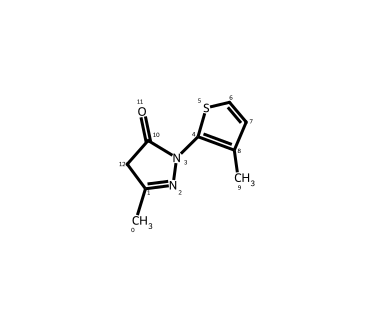 CC1=NN(c2sccc2C)C(=O)C1